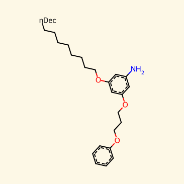 CCCCCCCCCCCCCCCCCCOc1cc(N)cc(OCCCOc2ccccc2)c1